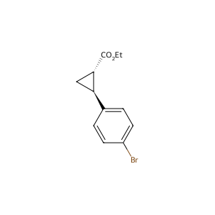 CCOC(=O)[C@H]1C[C@@H]1c1ccc(Br)cc1